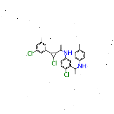 C=C(Nc1ccc(C)cc1)c1cc(NC(=C)C2C(Cl)C2c2cc(C)cc(Cl)c2)ccc1Cl